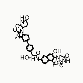 Cn1c(=O)n(C2CCC(=O)NC2=O)c2ccc(-c3ccc([C@@H](CO)C(=O)Nc4ccc5c(F)c(N6CC(=O)NS6(=O)=O)c(O)cc5c4)cc3)cc21